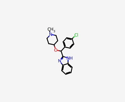 CN1CCC(OC(c2ccc(Cl)cc2)c2nc3ccccc3[nH]2)CC1